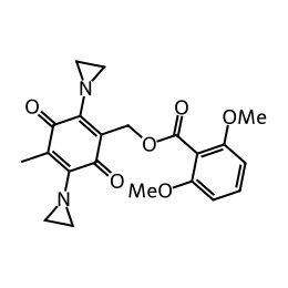 COc1cccc(OC)c1C(=O)OCC1=C(N2CC2)C(=O)C(C)=C(N2CC2)C1=O